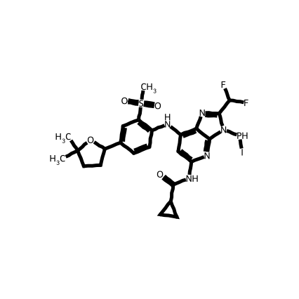 CC1(C)CCC(c2ccc(Nc3cc(NC(=O)C4CC4)nc4c3nc(C(F)F)n4PI)c(S(C)(=O)=O)c2)O1